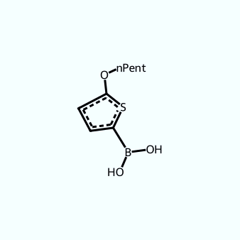 CCCCCOc1ccc(B(O)O)s1